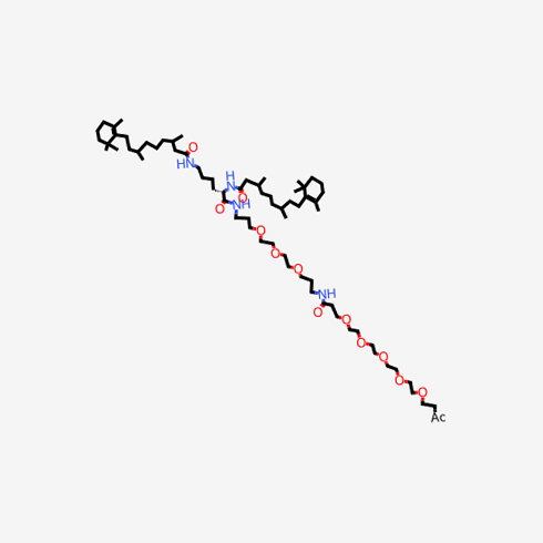 CC(=O)CCOCCOCCOCCOCCOCCC(=O)NCCCOCCOCCOCCCNC(=O)[C@H](CCCCNC(=O)CC(C)CCCC(C)CCC1=C(C)CCCC1(C)C)NC(=O)CC(C)CCCC(C)CCC1=C(C)CCCC1(C)C